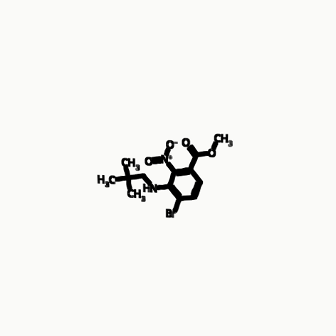 COC(=O)c1ccc(Br)c(NCC(C)(C)C)c1[N+](=O)[O-]